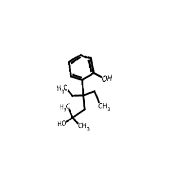 CCC(CC)(CC(C)(C)O)c1ccccc1O